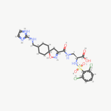 O=C(NC[C@H](NS(=O)(=O)c1c(Cl)cccc1Cl)C(=O)O)C1=NOC2(CCC(CNc3ncc[nH]3)CC2)C1